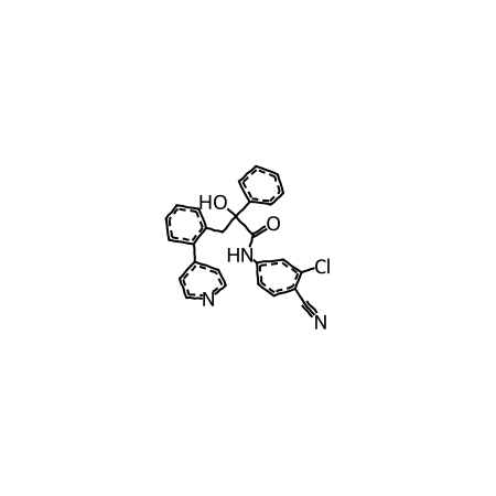 N#Cc1ccc(NC(=O)C(O)(Cc2ccccc2-c2ccncc2)c2ccccc2)cc1Cl